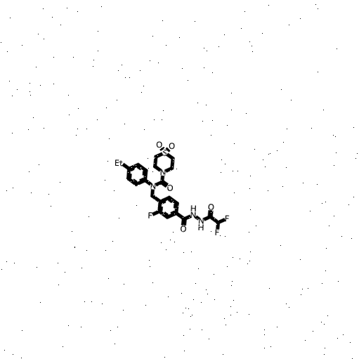 CCc1ccc(N(Cc2ccc(C(=O)NNC(=O)C(F)F)cc2F)C(=O)N2CCS(=O)(=O)CC2)cc1